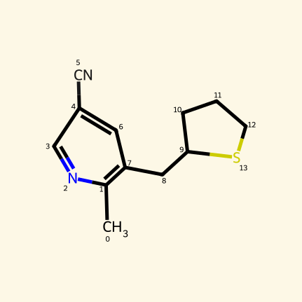 Cc1ncc(C#N)cc1CC1CCCS1